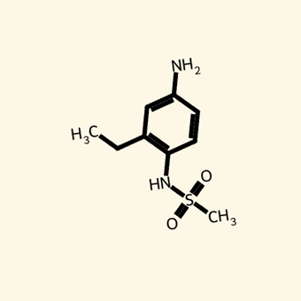 CCc1cc(N)ccc1NS(C)(=O)=O